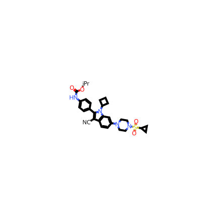 CC(C)OC(=O)Nc1ccc(-c2c(C#N)c3ccc(N4CCN(S(=O)(=O)C5CC5)CC4)cc3n2C2CCC2)cc1